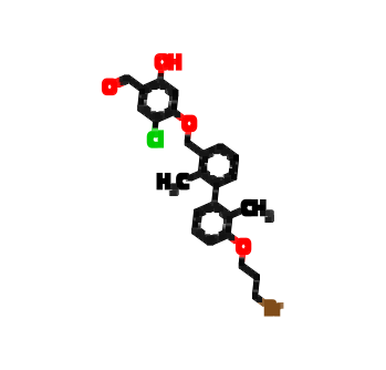 Cc1c(COc2cc(O)c(C=O)cc2Cl)cccc1-c1cccc(OCCCBr)c1C